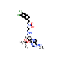 CNc1ncnc2c1ccn2[C@@H]1C[C@H](CNCCCN(CCc2ccc3cc(Cl)c(Cl)cc3c2)C(=O)O)[C@H]2OC(C)(C)O[C@H]21